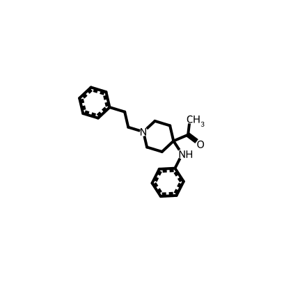 CC(=O)C1(Nc2ccccc2)CCN(CCc2ccccc2)CC1